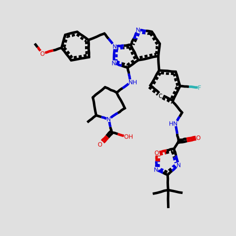 COc1ccc(Cn2nc(NC3CCC(C)N(C(=O)O)C3)c3c(-c4ccc(CNC(=O)c5nc(C(C)(C)C)no5)c(F)c4)ccnc32)cc1